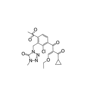 CCOC=C(C(=O)c1ccc(S(C)(=O)=O)c(Cn2nnn(C)c2=O)c1Cl)C(=O)C1CC1